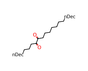 CCCCCCCCCCCCCCCCCC(=O)C(=O)CCCCCCCCCCCCC